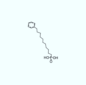 O=P(O)(O)CCCCCCCCCCCc1ccccc1